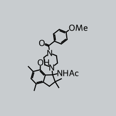 COc1ccc(C(=O)N2CCN(C3(NC(C)=O)c4c(O)c(C)cc(C)c4CC3(C)C)CC2)cc1